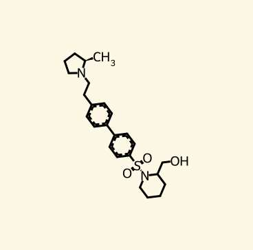 C[C@@H]1CCCN1CCc1ccc(-c2ccc(S(=O)(=O)N3CCCCC3CO)cc2)cc1